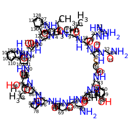 CCCC[C@H]1C(=O)N(C)[C@@H](CCCC)C(=O)N[C@@H](CCCNC(=N)N)C(=O)NC(C(=O)NCC(N)=O)CSCC(=O)N[C@@H](Cc2ccc(O)cc2)C(=O)NC(C)(C)C(=O)N[C@@H](CC(N)=O)C(=O)N2CCC[C@H]2C(=O)N[C@@H](CC2=CCC=N2)C(=O)N[C@@H](CC(C)C)C(=O)N2C[C@H](O)C[C@H]2C(=O)NC(Cc2c[nH]c3ccccc23)C(=O)N[C@@H](CO)C(=O)N[C@@H](Cc2c[nH]c3ccccc23)C(=O)N1C